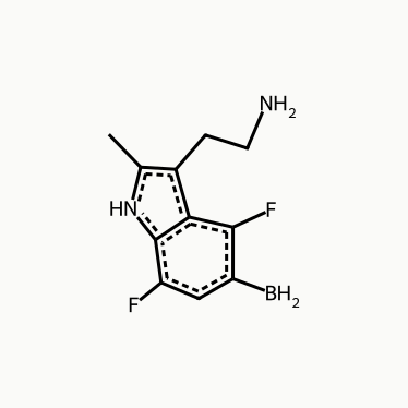 Bc1cc(F)c2[nH]c(C)c(CCN)c2c1F